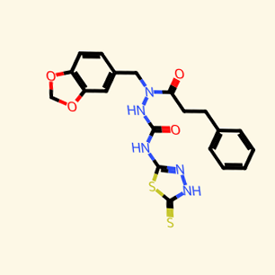 O=C(Nc1n[nH]c(=S)s1)NN(Cc1ccc2c(c1)OCO2)C(=O)CCc1ccccc1